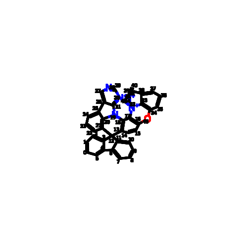 c1ccc2c(c1)-c1ccccc1C21c2ccc3c4c2-n2c5c1cccc5c1cnc[n+](c12)[N+]41c2c(cccc2-c2cccc[n+]21)O3